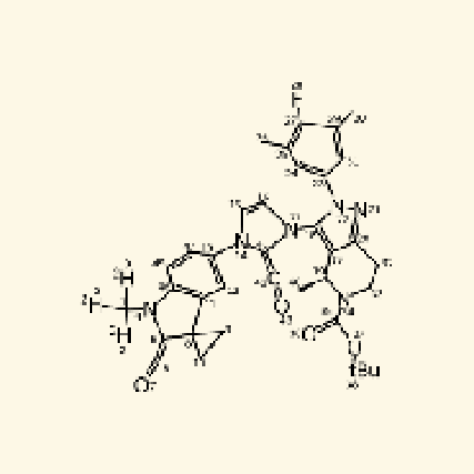 [2H]C([2H])([2H])N1C(=C=O)C2(CC2)c2cc(N3C=CN(c4c5c(nn4-c4cc(C)c(F)c(C)c4)CCN(C(=O)OC(C)(C)C)[C@H]5C)C3=C=O)ccc21